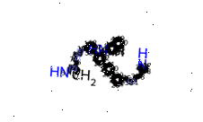 C=C/C(=C\C=N)C/C=C\C=C\c1cccc(C2=CC[C@H](C3C=CC(C4C=CC=C(C/C=C\CCC5=CNCC5)C4)CC3)CC2N[C@H]2C=C3C=CCC[C@H]3CC2)c1